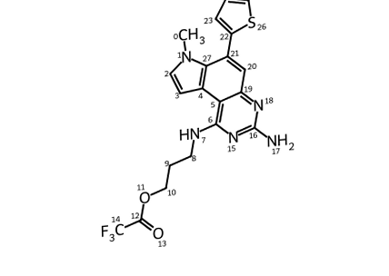 Cn1ccc2c3c(NCCCOC(=O)C(F)(F)F)nc(N)nc3cc(-c3cccs3)c21